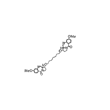 COc1ccc2c(c1)N=C[C@H]1C(OCCCCCCCOC3CCN4C(=O)c5ccc(OC)cc5N=C[C@@H]34)CCN1C2=O